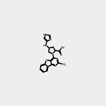 Cc1nc(N2CC(Nc3c[nH]cn3)CC2C(=O)O)c2oc3ccccc3c2n1